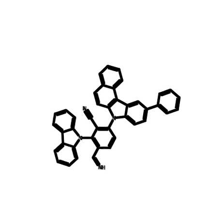 N#Cc1c(-n2c3ccc(-c4ccccc4)cc3c3c4ccccc4ccc32)ccc(C=N)c1-n1c2ccccc2c2ccccc21